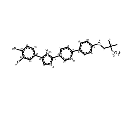 CC(C)(COc1ccc(-c2ccc(-c3ncc(-c4ccc(F)c(F)c4)[nH]3)cn2)cc1)C(=O)O